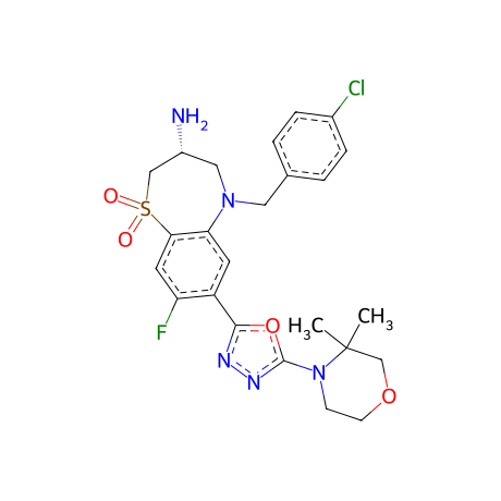 CC1(C)COCCN1c1nnc(-c2cc3c(cc2F)S(=O)(=O)C[C@H](N)CN3Cc2ccc(Cl)cc2)o1